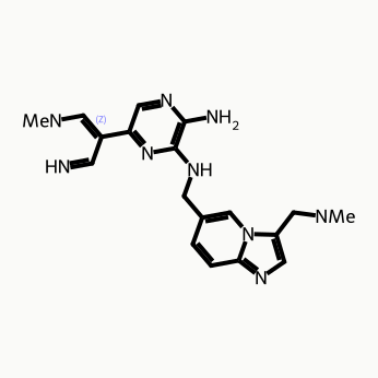 CN/C=C(\C=N)c1cnc(N)c(NCc2ccc3ncc(CNC)n3c2)n1